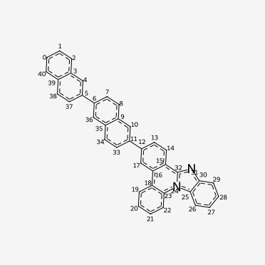 c1ccc2cc(-c3ccc4cc(-c5ccc6c(c5)c5ccccc5n5c7ccccc7nc65)ccc4c3)ccc2c1